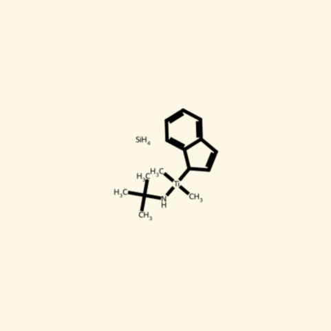 CC(C)(C)[NH][Ti]([CH3])([CH3])[CH]1C=Cc2ccccc21.[SiH4]